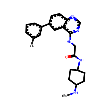 CC(C)(C)NC1CCC(NC(=O)CNc2ncnc3ccc(-c4cccc(C#N)c4)cc23)CC1